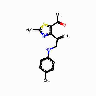 C=C(CNc1ccc(C)cc1)c1nc(C)sc1C(C)=O